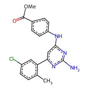 COC(=O)c1ccc(Nc2cc(-c3cc(Cl)ccc3C)nc(N)n2)cc1